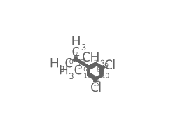 CC(C)C(C)(C)c1cc(Cl)cc(Cl)c1